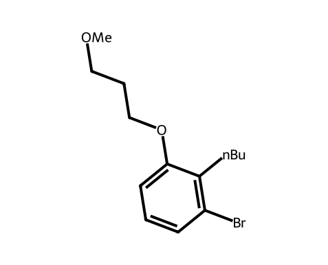 CCCCc1c(Br)cccc1OCCCOC